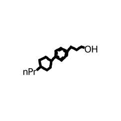 CCCC1CCC(c2ccc(CCCO)cc2)CC1